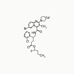 CCCC(F)OC(=O)CCC(CNC(=O)c1c(C)c(N2CC[C@@H](F)C2)nc2ccc(Br)cc12)c1ccccc1Cl